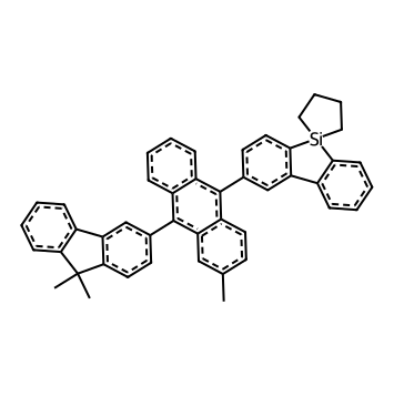 Cc1ccc2c(-c3ccc4c(c3)-c3ccccc3[Si]43CCCC3)c3ccccc3c(-c3ccc4c(c3)-c3ccccc3C4(C)C)c2c1